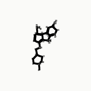 CN1CCC(COc2ccc(N)c3c4c([nH]c23)=NCC(Cl)C=4)CC1